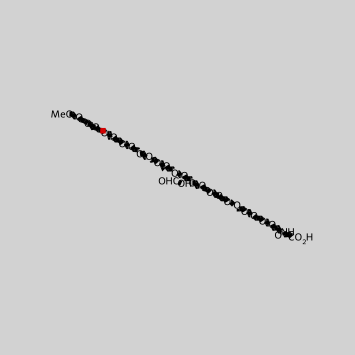 COCCOCCOCCOCCOCCOCCOCCOCCOCCOCCOCCOCCOCCOCCOCCOCCOCCOCCOCCOCCOCCOCCOCCOCCC(=O)NCCC(=O)O.O=CO